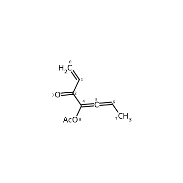 C=CC(=O)C(=C=CC)OC(C)=O